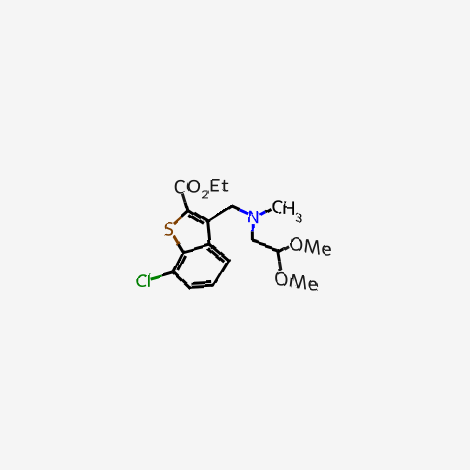 CCOC(=O)c1sc2c(Cl)cccc2c1CN(C)CC(OC)OC